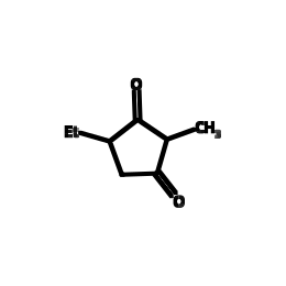 CCC1CC(=O)C(C)C1=O